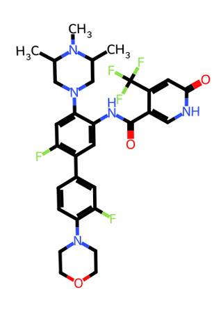 CC1CN(c2cc(F)c(-c3ccc(N4CCOCC4)c(F)c3)cc2NC(=O)c2c[nH]c(=O)cc2C(F)(F)F)CC(C)N1C